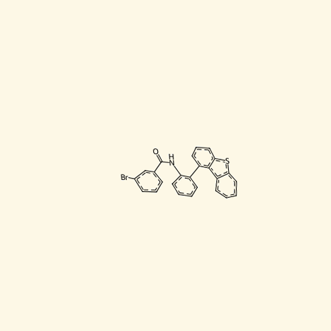 O=C(Nc1ccccc1-c1cccc2sc3ccccc3c12)c1cccc(Br)c1